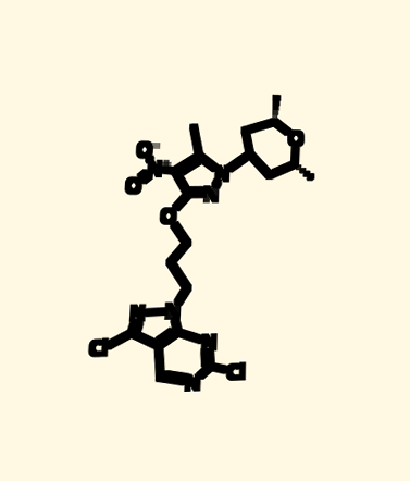 Cc1c([N+](=O)[O-])c(OCCCn2nc(Cl)c3cnc(Cl)nc32)nn1C1C[C@@H](C)O[C@@H](C)C1